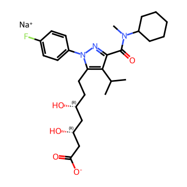 CC(C)c1c(C(=O)N(C)C2CCCCC2)nn(-c2ccc(F)cc2)c1CC[C@@H](O)C[C@@H](O)CC(=O)[O-].[Na+]